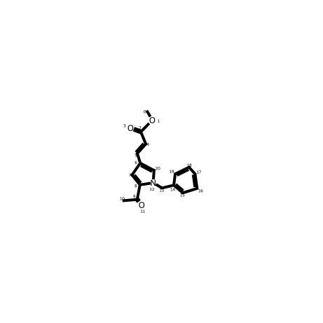 COC(=O)C=Cc1cc(C(C)=O)n(Cc2ccccc2)c1